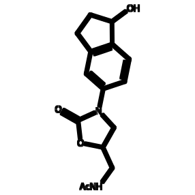 CC(=O)NCC1CN(c2ccc3c(c2)CCC3O)C(=O)O1